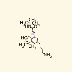 CC(C)(C)NC(=O)/C=C/c1cc(CCCCN)cc(C(C)(C)C)c1CO